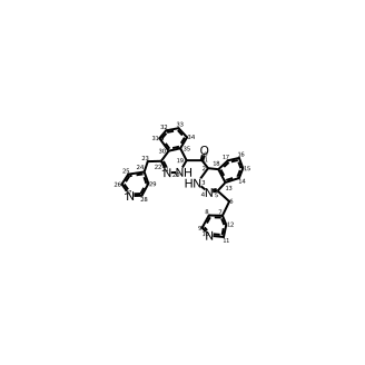 O=C(C1NN=C(Cc2ccncc2)c2ccccc21)C1NN=C(Cc2ccncc2)c2ccccc21